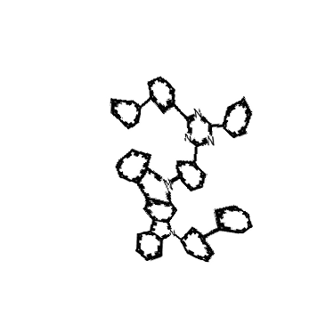 c1ccc(-c2cccc(-c3nc(-c4ccccc4)nc(-c4cccc(-n5c6ccccc6c6cc7c8ccccc8n(-c8cccc(-c9ccccc9)c8)c7cc65)c4)n3)c2)cc1